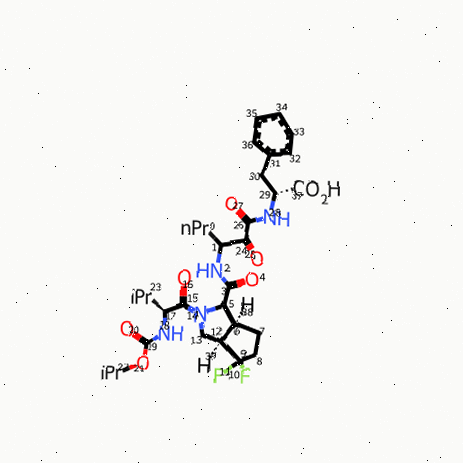 CCCC(NC(=O)C1[C@H]2CCC(F)(F)[C@H]2CN1C(=O)[C@@H](NC(=O)OC(C)C)C(C)C)C(=O)C(=O)N[C@H](Cc1ccccc1)C(=O)O